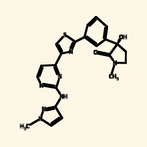 CN1CC[C@@](O)(c2cccc(-c3nc(-c4ccnc(Nc5ccn(C)n5)n4)cs3)c2)C1=O